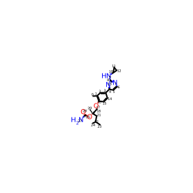 Cc1cc(-c2ccnc(NC3CC3)n2)ccc1OC[C@](C)(CC(C)C)OC(N)=O